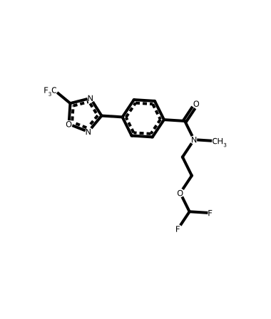 CN(CCOC(F)F)C(=O)c1ccc(-c2noc(C(F)(F)F)n2)cc1